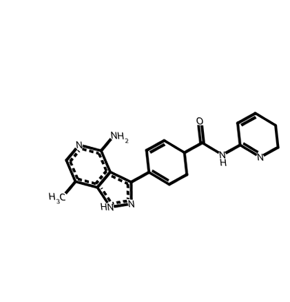 Cc1cnc(N)c2c(C3=CCC(C(=O)NC4=NCCC=C4)C=C3)n[nH]c12